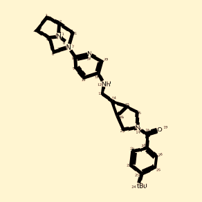 CN1C2CCC1CN(c1ccc(NCC3C4CN(C(=O)c5ccc(C(C)(C)C)cc5)CC34)cn1)C2